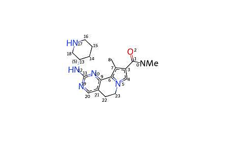 CNC(=O)c1cn2c(c1C)-c1nc(N[C@H]3CCCNC3)ncc1CC2